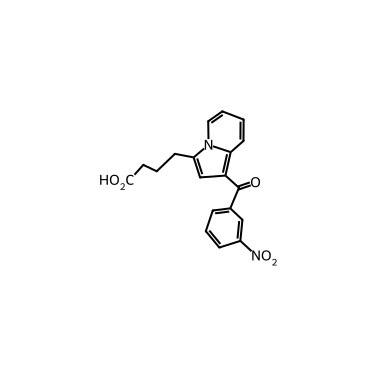 O=C(O)CCCc1cc(C(=O)c2cccc([N+](=O)[O-])c2)c2ccccn12